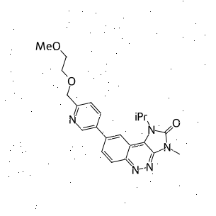 COCCOCc1ccc(-c2ccc3nnc4c(c3c2)n(C(C)C)c(=O)n4C)cn1